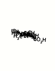 CCC(CC)(c1ccc(C=CC(O)C(C)(C)C)c(C)c1)c1ccc(OC[C@H](O)CCC(=O)O)c(C)c1